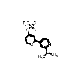 CN(C)c1cc(C2C=C(OS(=O)(=O)C(F)(F)F)CCO2)ccn1